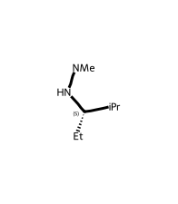 CC[C@H](NNC)C(C)C